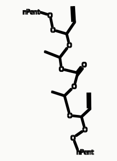 C=CC(OOCCCCC)OC(C)OC(=O)OC(C)OC(C=C)OOCCCCC